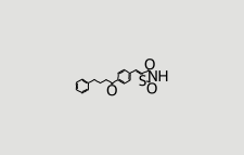 O=C1NC(=O)C(=Cc2ccc(C(=O)CCCc3ccccc3)cc2)S1